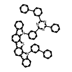 c1ccc(-c2cccc(-c3nc(-c4ccccc4)nc(-c4cccc(-n5c6ccccc6c6ccc7c8ccc9c%10ccccc%10n(-c%10cccc(-c%11ccccc%11)c%10)c9c8sc7c65)c4)n3)c2)cc1